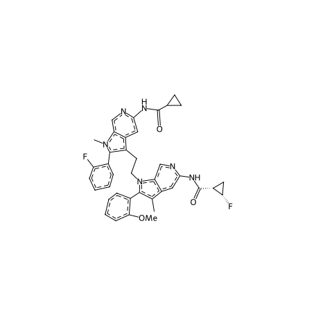 COc1ccccc1-c1c(C)c2cc(NC(=O)[C@@H]3C[C@@H]3F)ncc2n1CCc1c(-c2ccccc2F)n(C)c2cnc(NC(=O)C3CC3)cc12